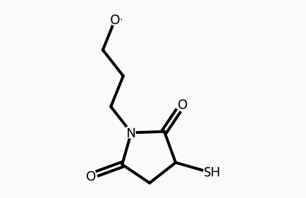 [O]CCCN1C(=O)CC(S)C1=O